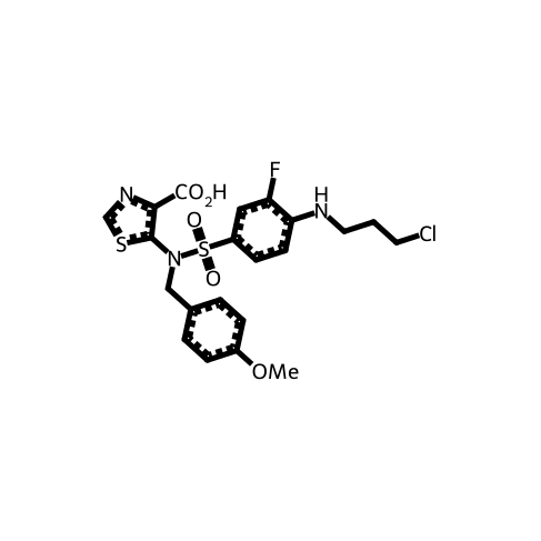 COc1ccc(CN(c2scnc2C(=O)O)S(=O)(=O)c2ccc(NCCCCl)c(F)c2)cc1